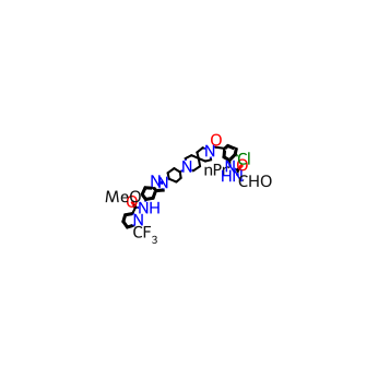 CCCN(C(=O)NC=O)c1cc(C(=O)N2CCC3(CC2)CCN(C2CCC(n4cc5cc(NC(=O)c6cccc(C(F)(F)F)n6)c(OC)cc5n4)CC2)CC3)ccc1Cl